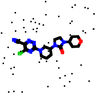 N#Cc1nnc(N2CCCC(N3CCN(C4CCOCC4)C3=O)C2)nc1Cl